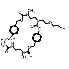 CNc1ccc(COC(=O)N(C)CCN(CCOCCO)C(=O)Oc2ccc(COC(=O)N(C)CCNC(C)=O)cc2)cc1